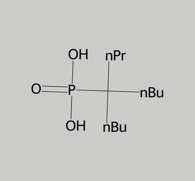 CCCCC(CCC)(CCCC)P(=O)(O)O